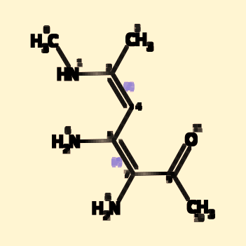 CN/C(C)=C\C(N)=C(\N)C(C)=O